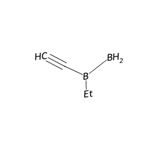 BB(C#C)CC